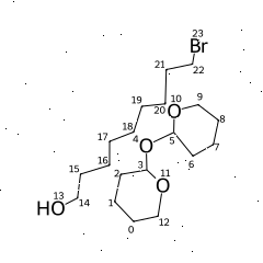 C1CCC(OC2CCCCO2)OC1.OCCCCCCCCCBr